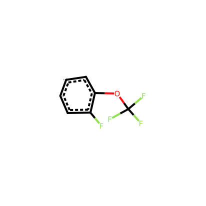 Fc1cc[c]cc1OC(F)(F)F